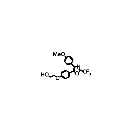 COc1ccc(-c2nc(C(F)(F)F)oc2-c2ccc(OCCO)cc2)cc1